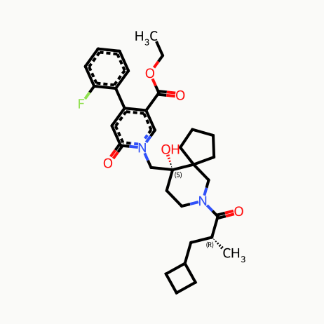 CCOC(=O)c1cn(C[C@]2(O)CCN(C(=O)[C@H](C)CC3CCC3)CC23CCCC3)c(=O)cc1-c1ccccc1F